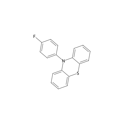 Fc1ccc(N2c3ccccc3Sc3ccccc32)cc1